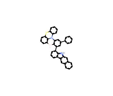 B1c2cccc3c2N(c2ccccc2S3)c2cc(-c3ccccc3)cc(-c3cccc4c3[nH]c3cc5ccccc5cc34)c21